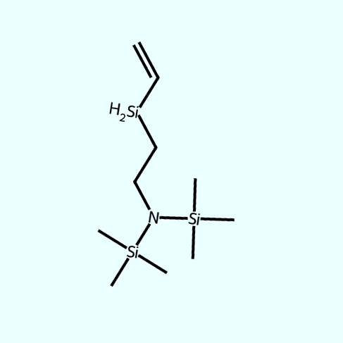 C=C[SiH2]CCN([Si](C)(C)C)[Si](C)(C)C